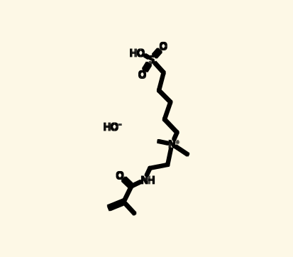 C=C(C)C(=O)NCC[N+](C)(C)CCCCCS(=O)(=O)O.[OH-]